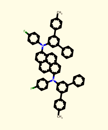 Cc1ccc(-c2cc(-c3ccccc3)cc(N(c3ccc(F)cc3)c3ccc4ccc5c(N(c6ccc(F)cc6)c6cc(-c7ccccc7)cc(-c7ccc(C)cc7)c6)ccc6ccc3c4c65)c2)cc1